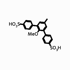 COc1c(-c2ccc(S(=O)(=O)O)cc2)cc(C)cc1-c1ccc(S(=O)(=O)O)cc1